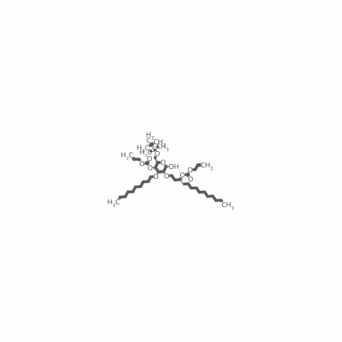 C=CCOC(=O)O[C@H](CCCCCCCCCCC)CCO[C@@H]1[C@@H](OCCCCCCCCCC)[C@H](OC(=O)OCC=C)[C@@H](CO[Si](C)(C)C(C)(C)C)O[C@@H]1O